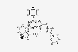 CCn1c(CN2CC(N3CCOCC3)C2)nc2c(N3CCOCC3)nc(-c3cccc4[nH]ccc34)nc21